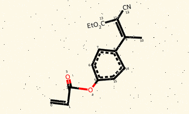 C=CC(=O)Oc1ccc(C(C)=C(C#N)C(=O)OCC)cc1